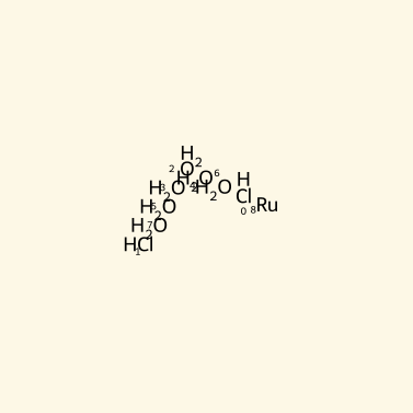 Cl.Cl.O.O.O.O.O.O.[Ru]